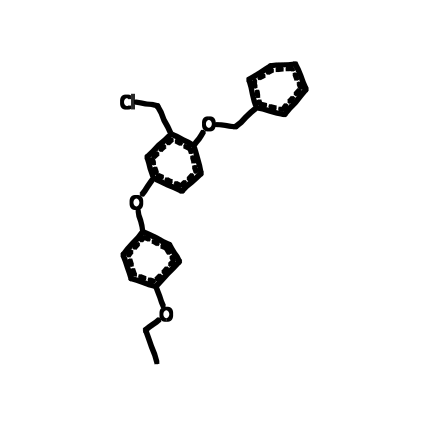 CCOc1ccc(Oc2ccc(OCc3ccccc3)c(CCl)c2)cc1